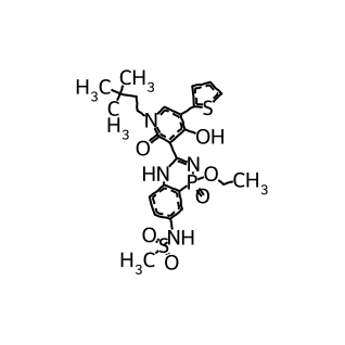 CCOP1(=O)N=C(c2c(O)c(-c3cccs3)cn(CCC(C)(C)C)c2=O)Nc2ccc(NS(C)(=O)=O)cc21